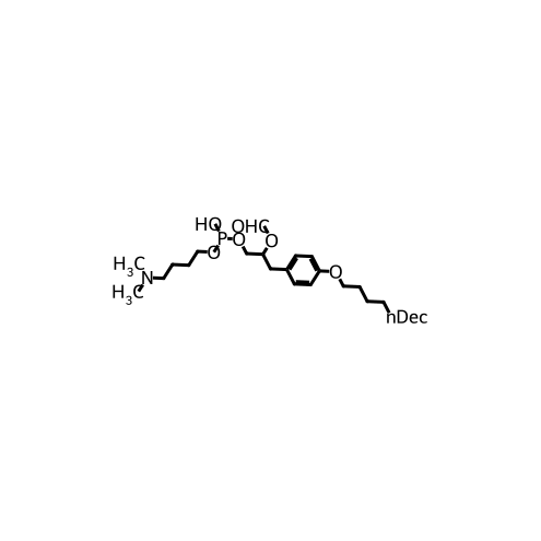 CCCCCCCCCCCCCCOc1ccc(CC(COP(O)OCCCCN(C)C)OC=O)cc1